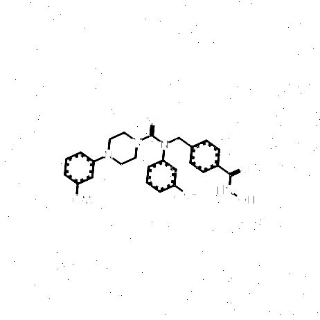 COc1cccc(N2CCN(C(=O)N(Cc3ccc(C(=O)NO)cc3)c3cccc(C(F)(F)F)c3)CC2)c1